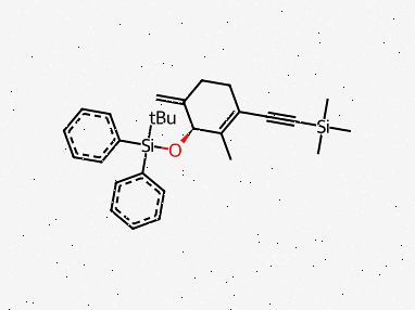 C=C1CCC(C#C[Si](C)(C)C)=C(C)[C@H]1O[Si](c1ccccc1)(c1ccccc1)C(C)(C)C